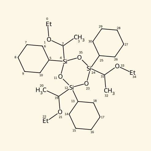 CCOC(C)[Si]1(C2CCCCC2)O[Si](C2CCCCC2)(C(C)OCC)O[Si](C2CCCCC2)(C(C)OCC)O1